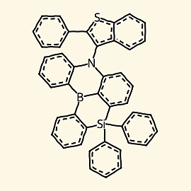 c1ccc(-c2sc3ccccc3c2N2c3ccccc3B3c4ccccc4[Si](c4ccccc4)(c4ccccc4)c4cccc2c43)cc1